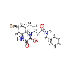 CN(Cc1ccccc1)C(=O)CC1CCc2cc(Br)cc3[nH]c(=O)c(=O)n1c23